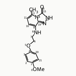 COc1ccc(OCCNc2ccc(C)n3c(=O)[nH]nc23)cc1